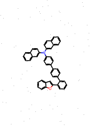 c1ccc(-c2cc3ccccc3o2)c(-c2ccc(-c3ccc(N(c4ccc5ccccc5c4)c4ccc5ccccc5c4)cc3)cc2)c1